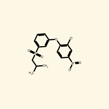 CC(C)CS(=O)(=O)c1cccc(Oc2ccc([N+](=O)[O-])cc2Cl)c1